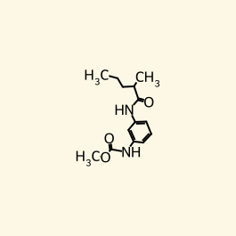 CCCC(C)C(=O)Nc1cccc(NC(=O)OC)c1